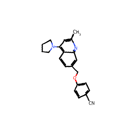 Cc1cc(N2CCCC2)c2ccc(COc3ccc(C#N)cc3)cc2n1